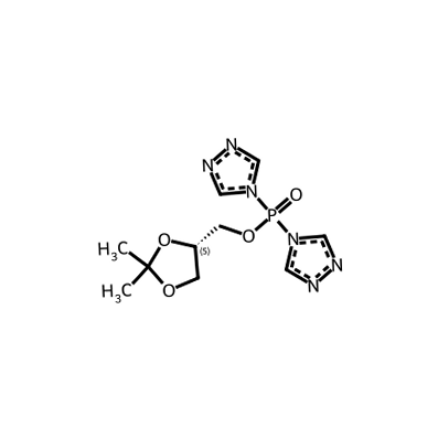 CC1(C)OC[C@@H](COP(=O)(n2cnnc2)n2cnnc2)O1